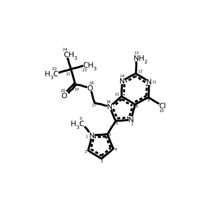 Cn1cccc1-c1nc2c(Cl)nc(N)nc2n1COC(=O)C(C)(C)C